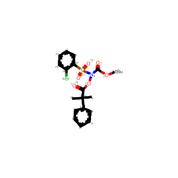 CC(C)(C)OC(=O)N(OC(=O)C(C)(C)c1ccccc1)S(=O)(=O)c1ccccc1Br